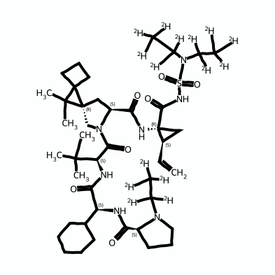 [2H]C([2H])([2H])C([2H])([2H])N1CCC[C@H]1C(=O)N[C@H](C(=O)N[C@H](C(=O)N1C[C@]2(C[C@H]1C(=O)N[C@]1(C(=O)NS(=O)(=O)N(C([2H])([2H])C([2H])([2H])[2H])C([2H])([2H])C([2H])([2H])[2H])C[C@H]1C=C)C(C)(C)C21CCC1)C(C)(C)C)C1CCCCC1